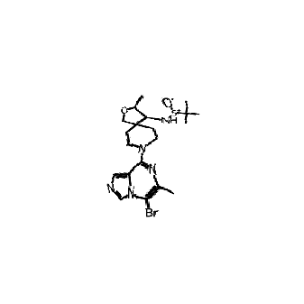 Cc1nc(N2CCC3(CC2)COC(C)C3N[S+]([O-])C(C)(C)C)c2cncn2c1Br